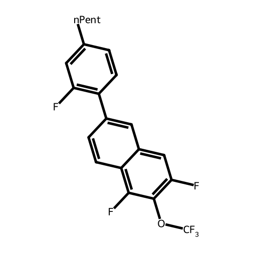 CCCCCc1ccc(-c2ccc3c(F)c(OC(F)(F)F)c(F)cc3c2)c(F)c1